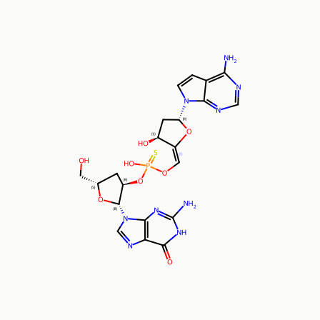 Nc1nc2c(ncn2[C@@H]2O[C@H](CO)C[C@H]2OP(O)(=S)O/C=C2/O[C@@H](n3ccc4c(N)ncnc43)C[C@@H]2O)c(=O)[nH]1